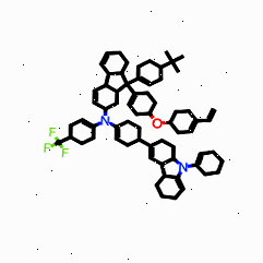 C=CC1=CCC(OC2CC=C(C3(C4=CCC(C(C)(C)C)CC4)C4CCC=CC4C4C=CC(N(C5=CCC(C6=CC7C8CCCC=C8N(C8=CCCCC8)C7CC6)CC5)C5=CCC(C(F)(F)F)CC5)CC43)CC2)CC1